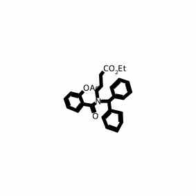 CCOC(=O)CCCN(C(=O)c1ccccc1OC(C)=O)C(c1ccccc1)c1ccccc1